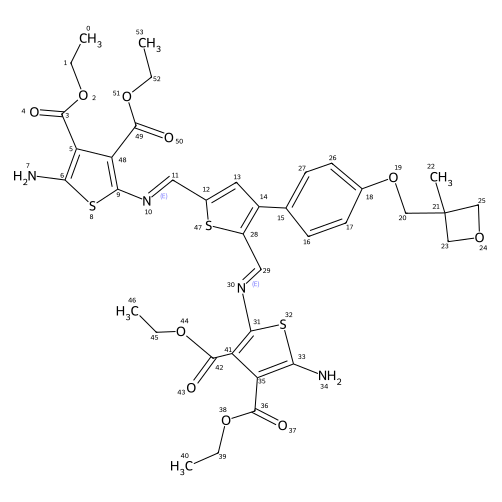 CCOC(=O)c1c(N)sc(/N=C/c2cc(-c3ccc(OCC4(C)COC4)cc3)c(/C=N/c3sc(N)c(C(=O)OCC)c3C(=O)OCC)s2)c1C(=O)OCC